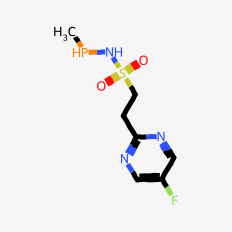 CPNS(=O)(=O)CCc1ncc(F)cn1